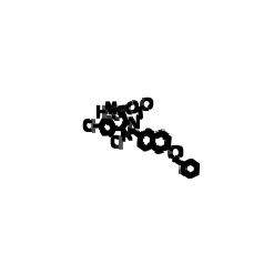 C=Cc1c(-c2ccc(Cl)cc2Cl)nc(-c2ccc3cc(OCc4ccccc4)ccc3c2)n1CC(=O)OC